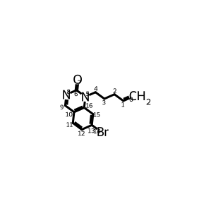 C=CCCCn1c(=O)ncc2ccc(Br)cc21